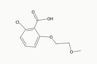 COCCOc1cccc(Cl)c1C(=O)O